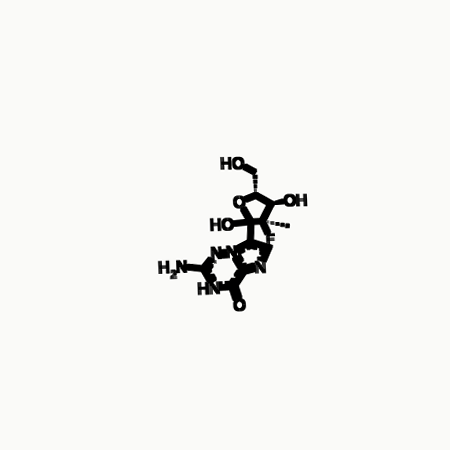 C[C@@]1(F)[C@H](O)[C@@H](CO)OC1(O)c1cnc2c(=O)[nH]c(N)nn12